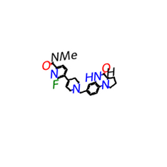 CNC(=O)c1ccc(C2=CCN(Cc3ccc4c(c3)NC(=O)[C@@H]3CCCN43)CC2)c(F)n1